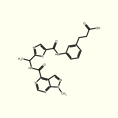 CC(NC(=O)c1ncnc2c1cnn2C)c1ncc(C(=O)Nc2cccc(CCC(=O)O)c2)s1